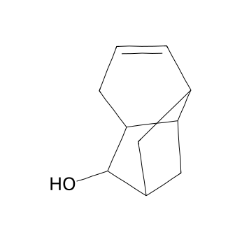 OC1C2CC3C=CCC1C3C2